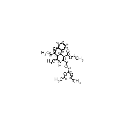 CCOC(=O)C1=C(COCC(OCC)OCC)NC(C)=C(C(=O)CC)C1c1ccccc1Cl